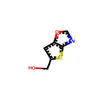 OCc1cc2ocnc2s1